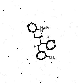 C=C(Cc1ccccc1NCCC)C(Nc1cccc(C)c1)c1ccccc1